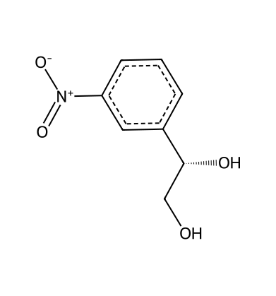 O=[N+]([O-])c1cccc([C@H](O)CO)c1